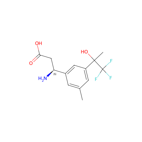 Cc1cc([C@@H](N)CC(=O)O)cc(C(C)(O)C(F)(F)F)c1